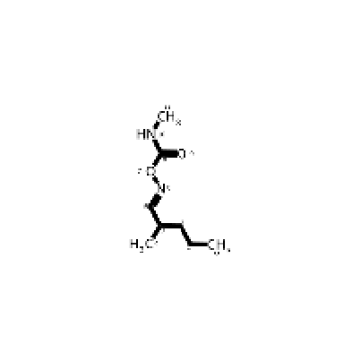 CCCC(C)/C=N/OC(=O)NC